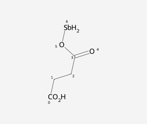 O=C(O)CCC(=O)[O][SbH2]